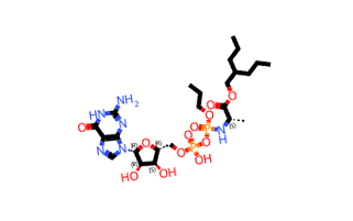 CCCOP(=O)(N[C@@H](C)C(=O)OCC(CCC)CCC)OP(=O)(O)OC[C@H]1O[C@@H](n2cnc3c(=O)[nH]c(N)nc32)[C@H](O)[C@@H]1O